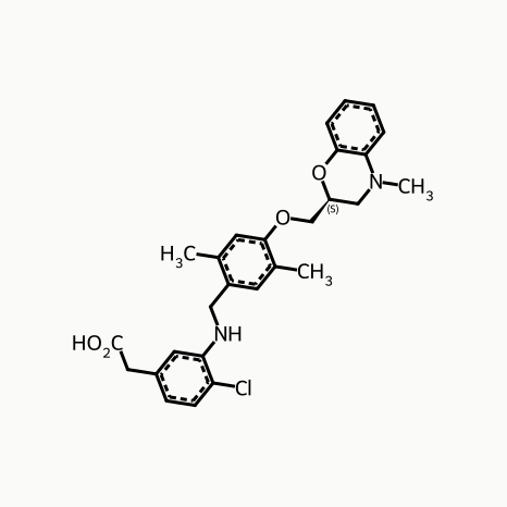 Cc1cc(OC[C@@H]2CN(C)c3ccccc3O2)c(C)cc1CNc1cc(CC(=O)O)ccc1Cl